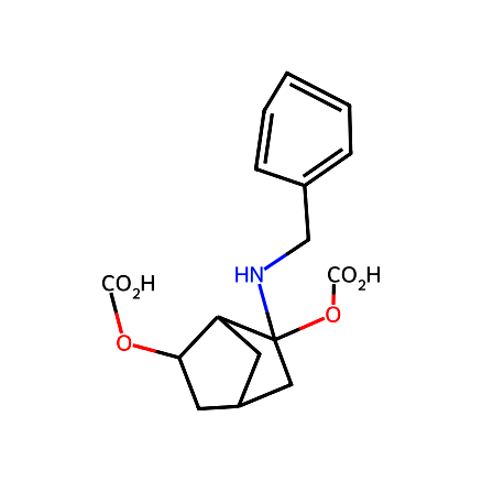 O=C(O)OC1CC2CC1C(NCc1ccccc1)(OC(=O)O)C2